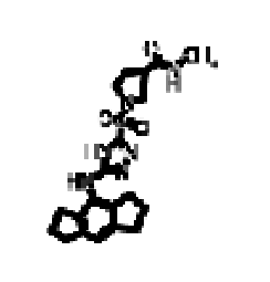 CNC(=O)C1CCN(S(=O)(=O)c2nnc(Nc3c4c(cc5c3CCC5)CCC4)[nH]2)C1